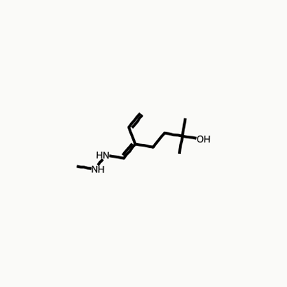 C=C/C(=C\NNC)CCC(C)(C)O